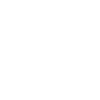 COc1cc(C)c(F)c(-c2ccc(CBr)cc2)c1